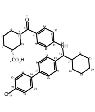 O=C(O)[C@@H]1CCCN(C(=O)c2ccc(NC(c3ccc(-c4ccc(Cl)cc4)cc3)C3CCCCC3)cc2)C1